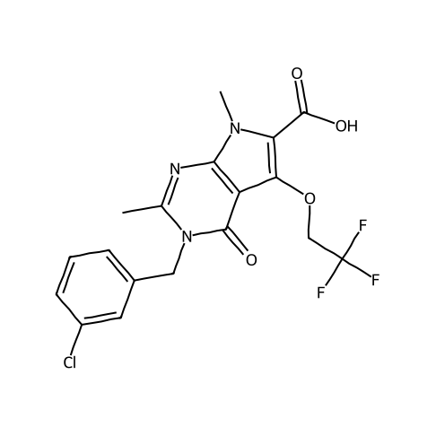 Cc1nc2c(c(OCC(F)(F)F)c(C(=O)O)n2C)c(=O)n1Cc1cccc(Cl)c1